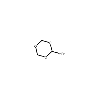 CCCC1OCOCO1